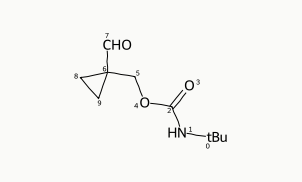 CC(C)(C)NC(=O)OCC1(C=O)CC1